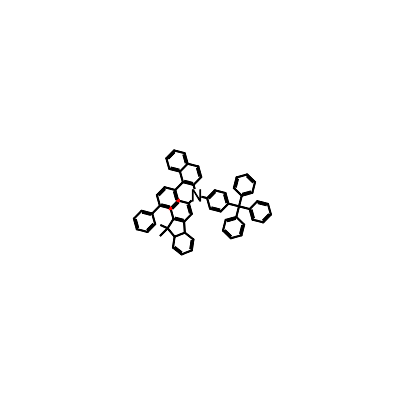 CC1(C)c2ccc(N(c3ccc(C(c4ccccc4)(c4ccccc4)c4ccccc4)cc3)c3ccc4ccccc4c3-c3ccc(-c4ccccc4)cc3)cc2C2C=CC=CC21